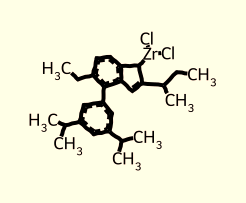 CCc1ccc2c(c1-c1cc(C(C)C)cc(C(C)C)c1)C=C(C(C)CC)[CH]2[Zr]([Cl])[Cl]